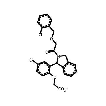 O=C(O)COc1ccc(Cl)cc1C1c2ccccc2CN1C(=O)COCc1ccccc1Cl